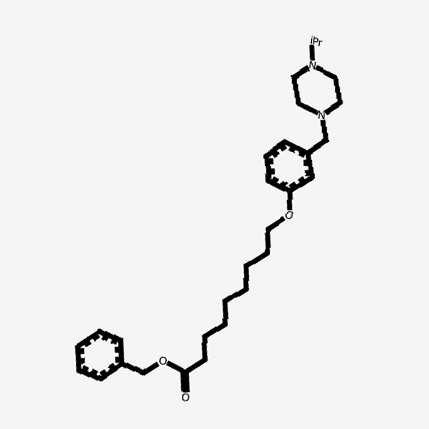 CC(C)N1CCN(Cc2cccc(OCCCCCCCCC(=O)OCc3ccccc3)c2)CC1